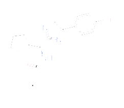 CC(C)(C)OC(=O)N[C@H](c1ncc(-c2ccc(Br)cc2)[nH]1)C1CCCC1